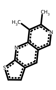 Cc1ncc2cc3ccsc3nc2c1C